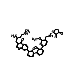 CNCCN(C)Cc1cnc2cc(-c3cccc(-c4cccc(-c5ccc(CNC[C@@H]6CCC(=O)N6)c(OC)n5)c4Cl)c3Cl)ccn2c1=O